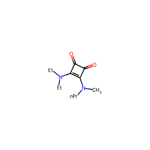 CCCN(C)c1c(N(CC)CC)c(=O)c1=O